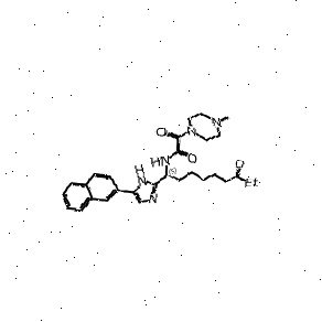 CCC(=O)CCCCC[C@H](NC(=O)C(=O)N1CCN(C)CC1)c1ncc(-c2ccc3ccccc3c2)[nH]1